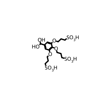 O=S(=O)(O)CCCOc1cc(C(O)O)cc(OCCCS(=O)(=O)O)c1OCCCS(=O)(=O)O